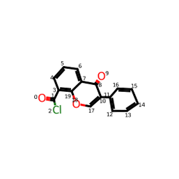 O=C(Cl)c1cccc2c(=O)c(-c3ccccc3)coc12